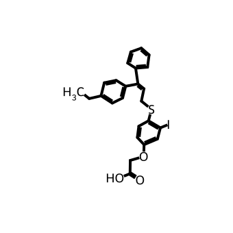 CCc1ccc(/C(=C\CSc2ccc(OCC(=O)O)cc2I)c2ccccc2)cc1